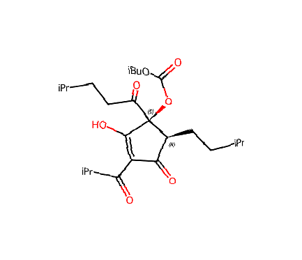 CC(C)CCC(=O)[C@@]1(OC(=O)OCC(C)C)C(O)=C(C(=O)C(C)C)C(=O)[C@@H]1CCC(C)C